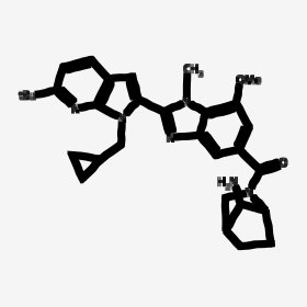 COc1cc(C(=O)N2CC3CCC2C3N)cc2nc(-c3cc4ccc(C(C)(C)C)nc4n3CC3CC3)n(C)c12